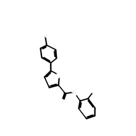 CC(C)c1ccccc1NC(=O)c1ccc(-c2ccc(Br)cc2)o1